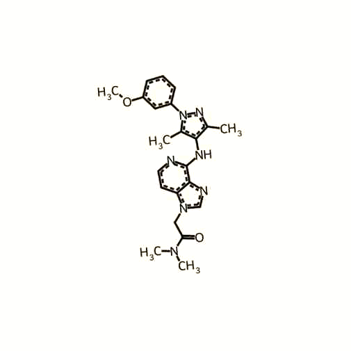 COc1cccc(-n2nc(C)c(Nc3nccc4c3ncn4CC(=O)N(C)C)c2C)c1